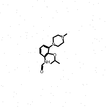 CC(C)Oc1c(NC=O)cccc1N1CCN(C)CC1